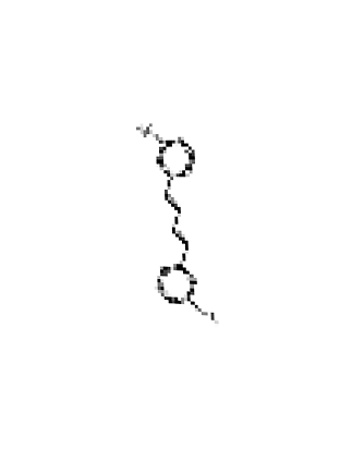 Cc1cccc(/C=C/C=C/c2cccc(C)c2)c1